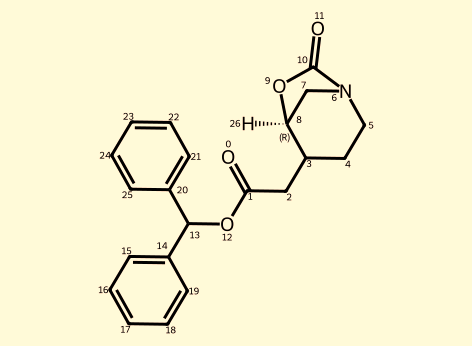 O=C(CC1CCN2C[C@@H]1OC2=O)OC(c1ccccc1)c1ccccc1